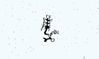 C=C(C)C(=O)N(CCCC)CC(F)(F)C(F)(F)C(F)(F)C(F)(F)F